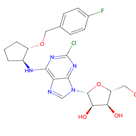 OC[C@H]1O[C@@H](n2cnc3c(N[C@H]4CCC[C@@H]4OCc4ccc(F)cc4)nc(Cl)nc32)[C@H](O)[C@@H]1O